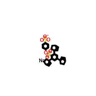 O=S(=O)([O-])c1ccc(OS(=O)(=O)c2c(C34CCC(CC3)C4)cc(C34CCC(CC3)C4)cc2C23CCC(CC2)C3)cc1.[Na+]